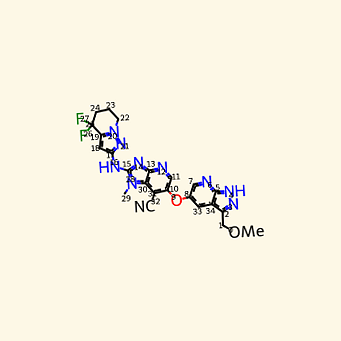 COCc1n[nH]c2ncc(Oc3cnc4nc(Nc5cc6n(n5)CCCC6(F)F)n(C)c4c3C#N)cc12